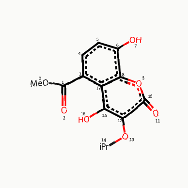 COC(=O)c1ccc(O)c2oc(=O)c(OC(C)C)c(O)c12